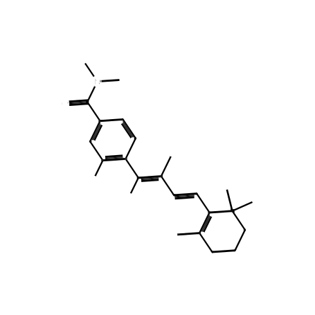 CC1=C(/C=C/C(C)=C(\F)c2ccc(C(=O)N(C)C)cc2F)C(C)(C)CCC1